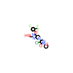 O=c1c(Cl)c(N2CCc3c(nc(CO)nc3Oc3ccc(F)cc3C(F)F)C2)cnn1C1CCCCO1